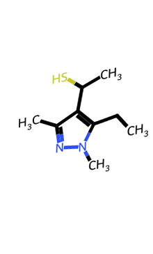 CCc1c(C(C)S)c(C)nn1C